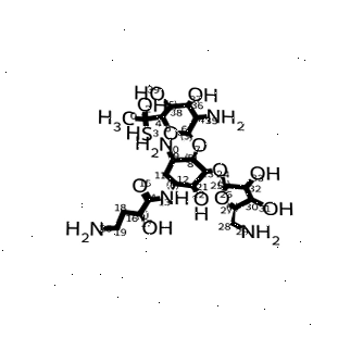 CC(O)(S)C1O[C@H](O[C@@H]2C(N)C[C@@H](NC(=O)[C@@H](O)CCN)C(O)C2O[C@@H]2O[C@H](CN)C(O)C2O)C(N)C(O)[C@@H]1O